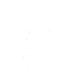 CCc1c(O[Si](C)(C)C(C)(C)C)nn(CCNC(=O)OC(C)(C)C)c1C(=O)O